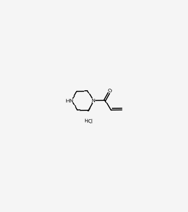 C=CC(=O)N1CCNCC1.Cl